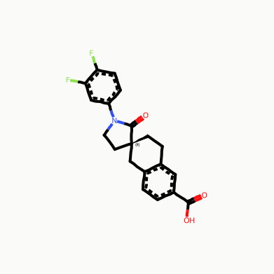 O=C(O)c1ccc2c(c1)CC[C@]1(CCN(c3ccc(F)c(F)c3)C1=O)C2